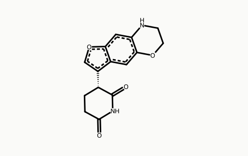 O=C1CC[C@H](c2coc3cc4c(cc23)OCCN4)C(=O)N1